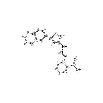 O=C(O)c1ccccc1/C=N/Nc1nc(-c2ccc3ccccc3c2)cs1